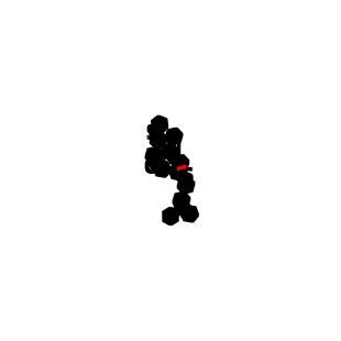 c1ccc(-c2nc(-c3ccccc3-c3cccc4sc5ccccc5c34)nc(-c3cccc4oc5ccc(-c6ccc7sc8ccc(-c9ccc%10c(c9)c9ccccc9n%10-c9ccccc9)cc8c7c6)cc5c34)n2)cc1